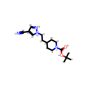 CC(C)(C)OC(=O)N1CCC(CCn2cc(C#N)cn2)CC1